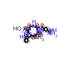 CC(C)[C@H]1C(=O)NC(CNC(=O)c2ccc(C(=N)N)cc2)C(=O)NCC(=O)NC(CC(=O)O)C(=O)NC(Cc2c[nH]c3ccccc23)C(=O)N1C